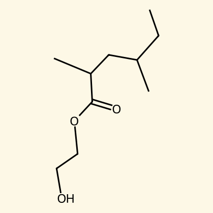 CCC(C)CC(C)C(=O)OCCO